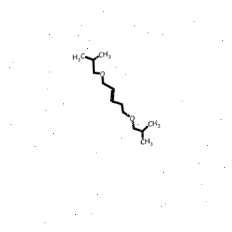 CC(C)COC/C=C/CCOCC(C)C